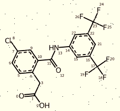 O=C(O)Cc1ccc(Cl)cc1C(=O)Nc1cc(C(F)(F)F)cc(C(F)(F)F)c1